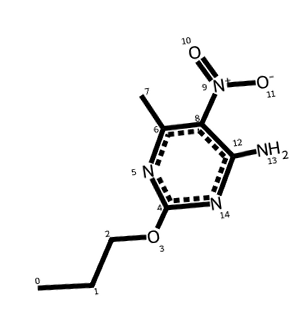 CCCOc1nc(C)c([N+](=O)[O-])c(N)n1